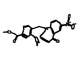 COC(=O)c1ccc(Cn2ccc(=O)c3cc([N+](=O)[O-])ccc32)c(OC)c1